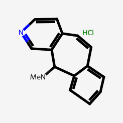 CNC1c2ccccc2C=Cc2ccncc21.Cl